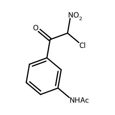 CC(=O)Nc1cccc(C(=O)C(Cl)[N+](=O)[O-])c1